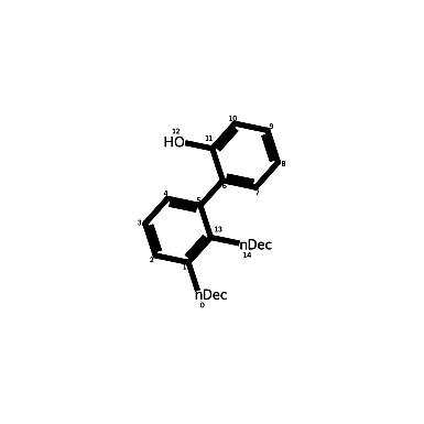 CCCCCCCCCCc1cccc(-c2ccccc2O)c1CCCCCCCCCC